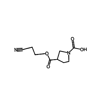 N#CCCOC(=O)C1CCN(C(=O)O)C1